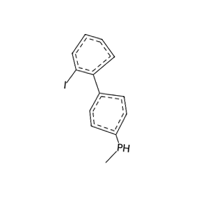 CPc1ccc(-c2ccccc2I)cc1